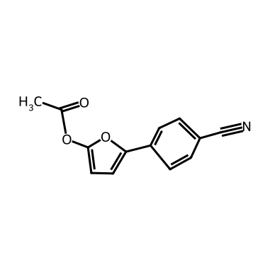 CC(=O)Oc1ccc(-c2ccc(C#N)cc2)o1